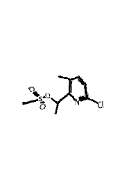 Cc1ccc(Cl)nc1C(C)OS(C)(=O)=O